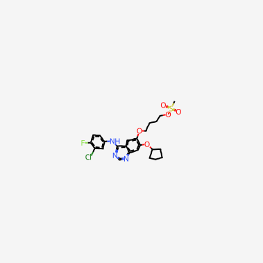 CS(=O)(=O)OCCCCOc1cc2c(Nc3ccc(F)c(Cl)c3)ncnc2cc1OC1CCCC1